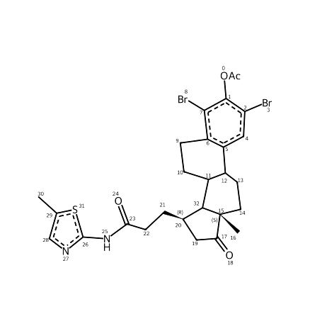 CC(=O)Oc1c(Br)cc2c(c1Br)CCC1C2CC[C@]2(C)C(=O)C[C@@H](CCC(=O)Nc3ncc(C)s3)C12